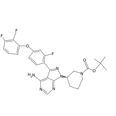 CC(C)(C)OC(=O)N1CCC[C@@H](n2nc(-c3ccc(Oc4cccc(F)c4F)cc3F)c3c(N)ncnc32)C1